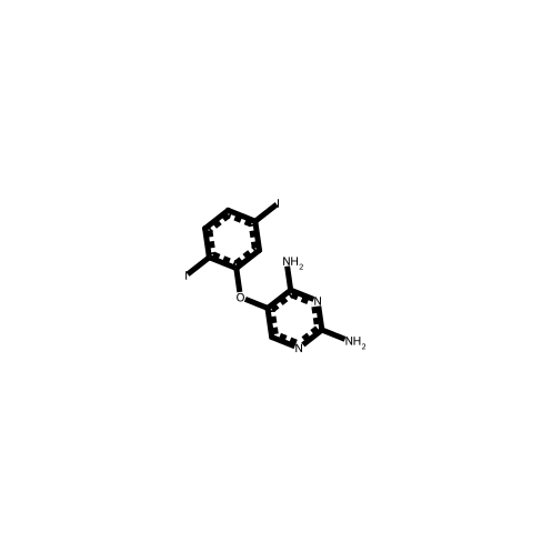 Nc1ncc(Oc2cc(I)ccc2I)c(N)n1